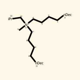 CCCCCCCCCCCCCC[N+](C)(CCCCCCCCCCCCCC)CC(C)C